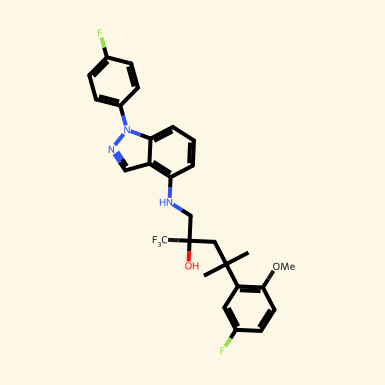 COc1ccc(F)cc1C(C)(C)CC(O)(CNc1cccc2c1cnn2-c1ccc(F)cc1)C(F)(F)F